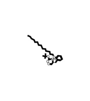 CCCCCCCCCCCCCCOc1ccccc1C[C@H](C=O)NC(=O)OC(C)(C)C